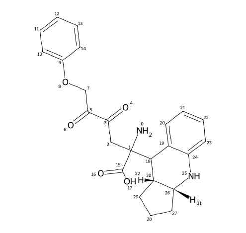 NC(CC(=O)C(=O)COc1ccccc1)(C(=O)O)C1c2ccccc2N[C@@H]2CCC[C@H]12